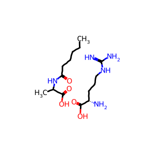 CCCCCC(=O)NC(C)C(=O)O.N=C(N)NCCC[C@H](N)C(=O)O